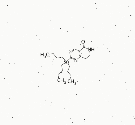 CCC[CH2][Sn]([CH2]CCC)([CH2]CCC)[c]1ccc2c(n1)CCNC2=O